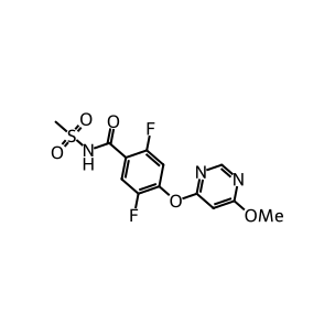 COc1cc(Oc2cc(F)c(C(=O)NS(C)(=O)=O)cc2F)ncn1